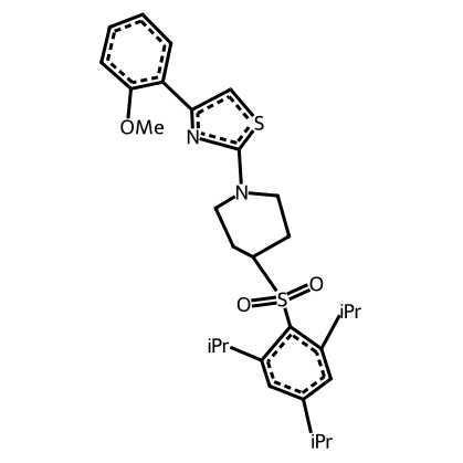 COc1ccccc1-c1csc(N2CCC(S(=O)(=O)c3c(C(C)C)cc(C(C)C)cc3C(C)C)CC2)n1